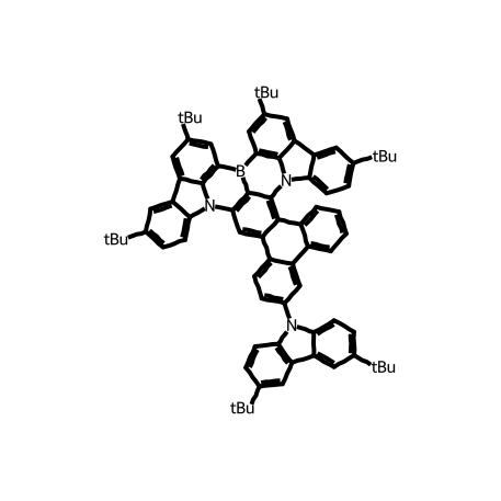 CC(C)(C)c1ccc2c(c1)c1cc(C(C)(C)C)ccc1n2-c1ccc2c(c1)c1ccccc1c1c3c4c(cc21)-n1c2ccc(C(C)(C)C)cc2c2cc(C(C)(C)C)cc(c21)B4c1cc(C(C)(C)C)cc2c4cc(C(C)(C)C)ccc4n-3c12